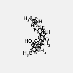 Cc1cc(C)c(S(=O)(=O)NC(CN(C)C(=O)c2c[nH]c3c(F)c(CNc4nc(C)c[nH]4)c(F)cc3c2=O)C(=O)O)c(C)c1